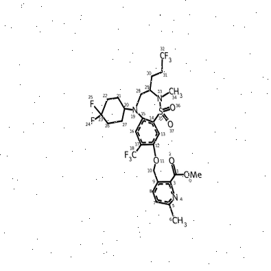 COC(=O)c1nc(C)ccc1COc1cc2c(cc1C(F)(F)F)N(C1CCC(F)(F)CC1)CC(CCC(F)(F)F)N(C)S2(=O)=O